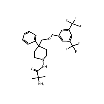 CC(C)(N)C(=O)NN1CCC(COCc2cc(C(F)(F)F)cc(C(F)(F)F)c2)(c2ccccc2)CC1